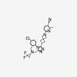 Cc1nc(N2CC3(CC(c4nnc5n4-c4ccc(Cl)cc4CN(C4CC4(F)F)C5)C3)C2)ccc1C#N